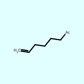 [CH2]C(=O)CCCCC=C